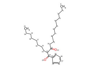 CCCCCCCCCCCC(=O)C(CCCCCCCC)C(=O)c1ccccc1